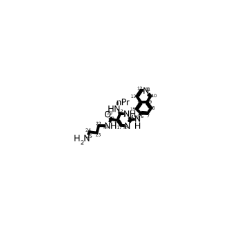 CCCNC1NC(Nc2ccc3cnccc3c2)=NC=C1C(=O)NCCCN